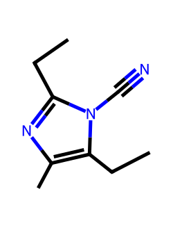 CCc1nc(C)c(CC)n1C#N